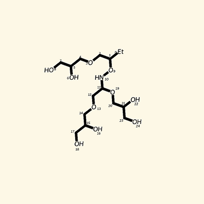 CCC(COCC(O)CO)ONC(COCC(O)CO)OCC(O)CO